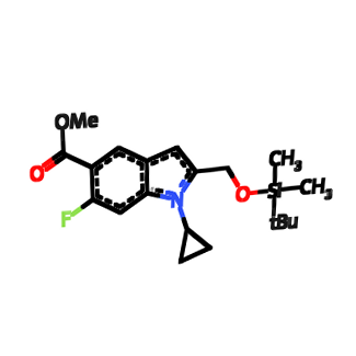 COC(=O)c1cc2cc(CO[Si](C)(C)C(C)(C)C)n(C3CC3)c2cc1F